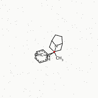 CC1(NC=O)CC2CCC(C1)N2Cc1ccccc1